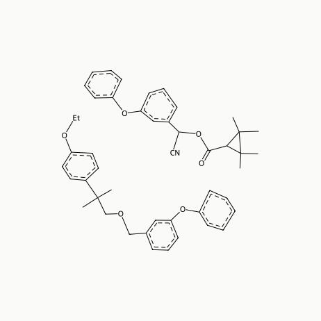 CC1(C)C(C(=O)OC(C#N)c2cccc(Oc3ccccc3)c2)C1(C)C.CCOc1ccc(C(C)(C)COCc2cccc(Oc3ccccc3)c2)cc1